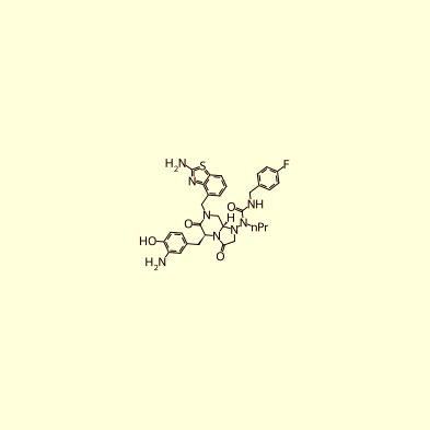 CCCN(C(=O)NCc1ccc(F)cc1)N1CC(=O)N2[C@@H](Cc3ccc(O)c(N)c3)C(=O)N(Cc3cccc4sc(N)nc34)C[C@@H]21